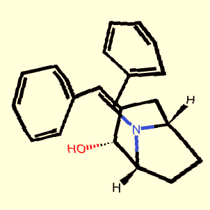 O[C@@H]1/C(=C\c2ccccc2)C[C@@H]2CC[C@H]1N2Cc1ccccc1